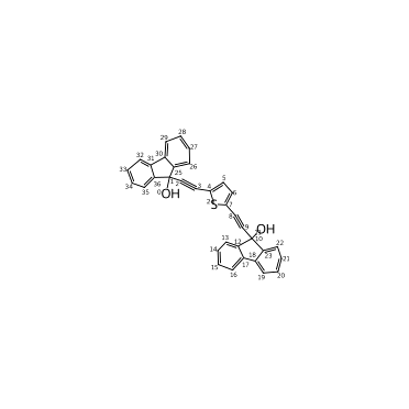 OC1(C#Cc2ccc(C#CC3(O)c4ccccc4-c4ccccc43)s2)c2ccccc2-c2ccccc21